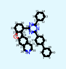 c1ccc(-c2ccc(-c3nc(-c4ccccc4)nc(-c4cccc5oc6cc7cnccc7cc6c45)n3)cc2)cc1